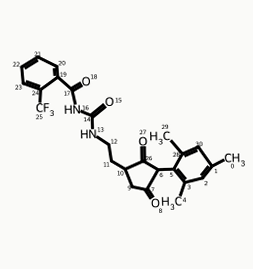 Cc1cc(C)c(C2C(=O)CC(CCNC(=O)NC(=O)c3ccccc3C(F)(F)F)C2=O)c(C)c1